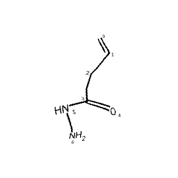 C=CCC(=O)NN